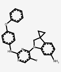 Nc1ccc2c(c1)N(c1nc(Nc3ccc(Oc4ccccc4)cc3)ncc1F)CC21CC1